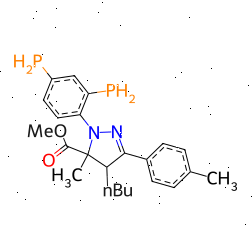 CCCCC1C(c2ccc(C)cc2)=NN(c2ccc(P)cc2P)C1(C)C(=O)OC